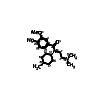 COc1cc(C(=O)N(CCN(C)C)[C@H]2CC[C@H](C)CC2)ccc1O